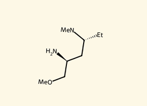 CC[C@H](C[C@H](N)COC)NC